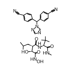 CNC(=O)[C@@H](NC(=O)[C@H](CC(C)C)[C@H](O)C(=O)NO)C(C)(C)C.N#Cc1ccc(C(c2ccc(C#N)cc2)n2cncn2)cc1